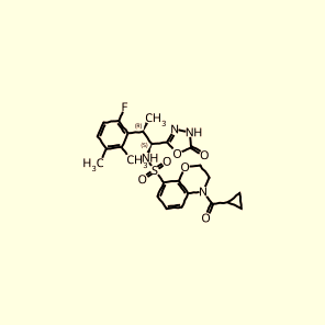 Cc1ccc(F)c([C@@H](C)[C@H](NS(=O)(=O)c2cccc3c2OCCN3C(=O)C2CC2)c2n[nH]c(=O)o2)c1C